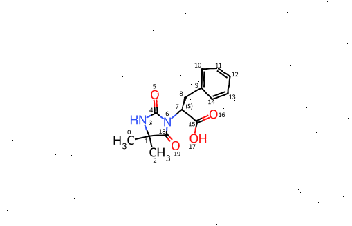 CC1(C)NC(=O)N([C@@H](Cc2ccccc2)C(=O)O)C1=O